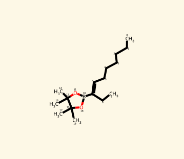 CCCCCCC=C(CC)B1OC(C)(C)C(C)(C)O1